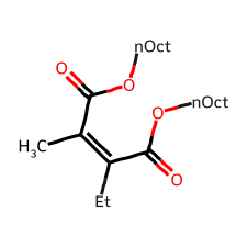 CCCCCCCCOC(=O)C(C)=C(CC)C(=O)OCCCCCCCC